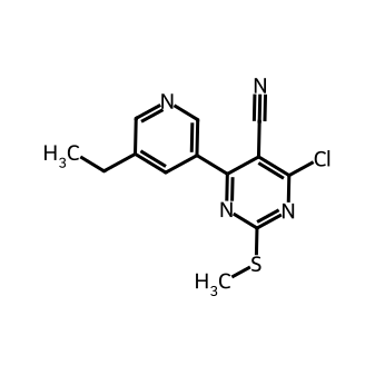 CCc1cncc(-c2nc(SC)nc(Cl)c2C#N)c1